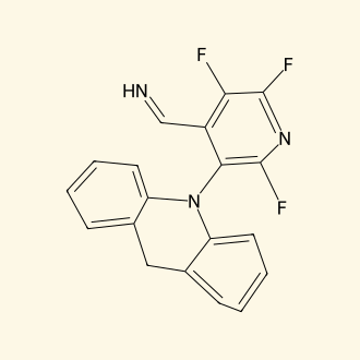 N=Cc1c(F)c(F)nc(F)c1N1c2ccccc2Cc2ccccc21